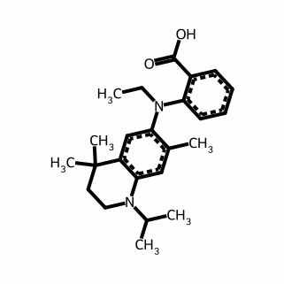 CCN(c1cc2c(cc1C)N(C(C)C)CCC2(C)C)c1ccccc1C(=O)O